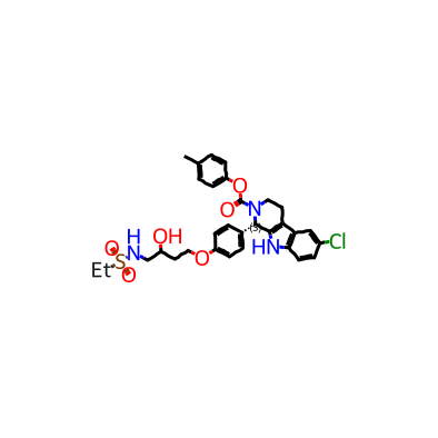 CCS(=O)(=O)NCC(O)CCOc1ccc([C@H]2c3[nH]c4ccc(Cl)cc4c3CCN2C(=O)Oc2ccc(C)cc2)cc1